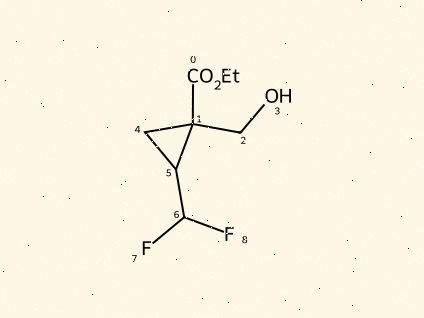 CCOC(=O)C1(CO)CC1C(F)F